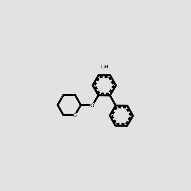 [LiH].[c]1cccc(-c2ccccc2)c1OC1CCCCO1